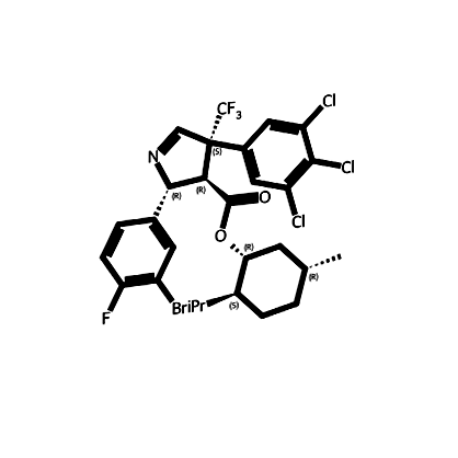 CC(C)[C@@H]1CC[C@@H](C)C[C@H]1OC(=O)[C@H]1[C@H](c2ccc(F)c(Br)c2)N=C[C@]1(c1cc(Cl)c(Cl)c(Cl)c1)C(F)(F)F